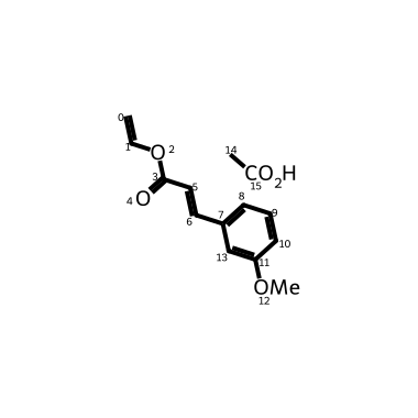 C=COC(=O)/C=C/c1cccc(OC)c1.CC(=O)O